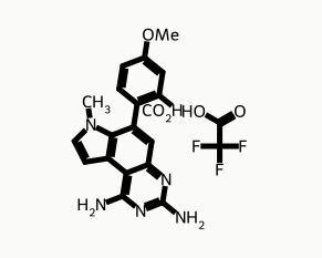 COc1ccc(-c2cc3nc(N)nc(N)c3c3ccn(C)c23)c(C(=O)O)c1.O=C(O)C(F)(F)F